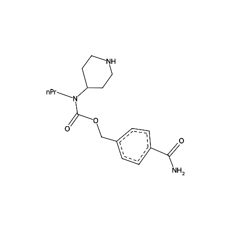 CCCN(C(=O)OCc1ccc(C(N)=O)cc1)C1CCNCC1